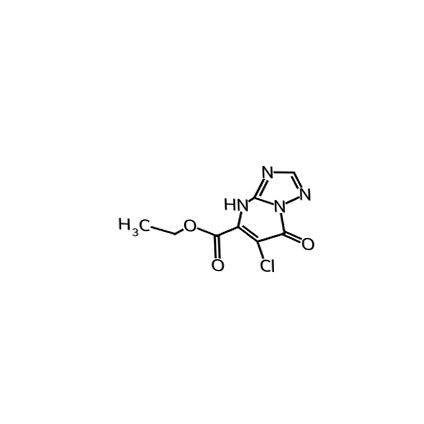 CCOC(=O)c1[nH]c2ncnn2c(=O)c1Cl